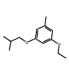 [CH2]c1cc(OCC)cc(OCC(C)C)c1